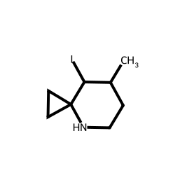 CC1CCNC2(CC2)C1I